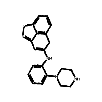 C1=C(Nc2ccccc2N2CCNCC2)Cc2cccc3snc1c23